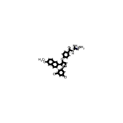 COc1ccc2cc(-c3c(Oc4ccc(C(=O)N/C(N)=N/N)cc4)cnn3-c3cc(Cl)cc(Cl)c3)ccc2c1